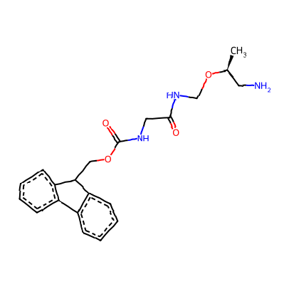 C[C@@H](CN)OCNC(=O)CNC(=O)OCC1c2ccccc2-c2ccccc21